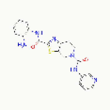 Nc1ccccc1NC(=O)c1nc2c(s1)CN(C(=O)Nc1cccnc1)CC2